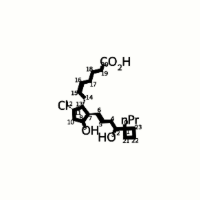 CCCC1(C(O)CC=C[C@H]2C(O)C[C@H](Cl)[C@@H]2C/C=C\CCCC(=O)O)CCC1